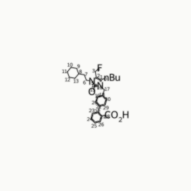 CCCCc1c(CF)n(CCC2CCCCC2)c(=O)n1Cc1ccc(-c2ccccc2C(=O)O)cc1